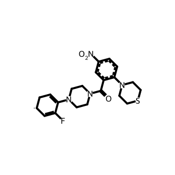 O=C(c1cc([N+](=O)[O-])ccc1N1CCSCC1)N1CCN(C2=CC[CH]C=C2F)CC1